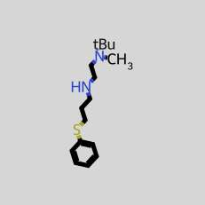 CN(CCNCCCSc1ccccc1)C(C)(C)C